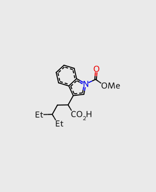 CCC(CC)CC(C(=O)O)c1cn(C(=O)OC)c2ccccc12